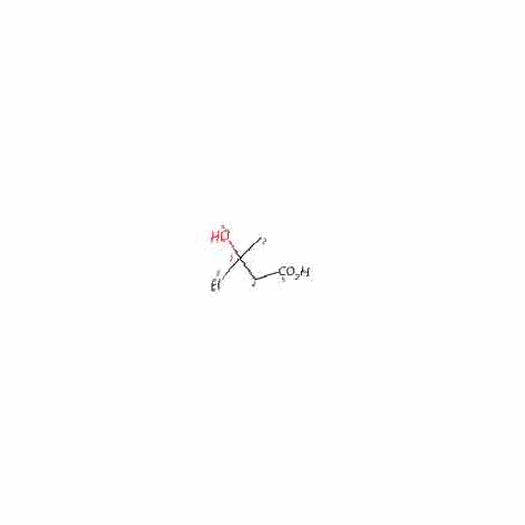 CCC(C)(O)CC(=O)O